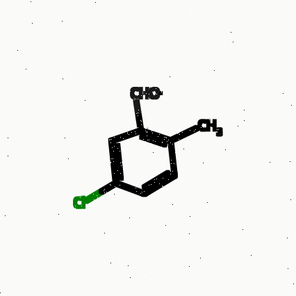 Cc1ccc(Cl)cc1[C]=O